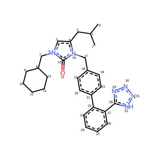 CC(C)Cc1cn(CC2CCCCC2)c(=O)n1Cc1ccc(-c2ccccc2-c2nnn[nH]2)cc1